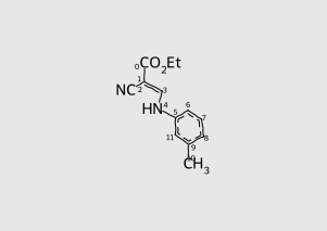 CCOC(=O)C(C#N)=CNc1cccc(C)c1